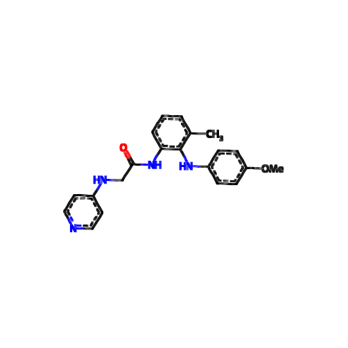 COc1ccc(Nc2c(C)cccc2NC(=O)CNc2ccncc2)cc1